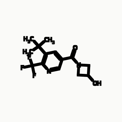 CC(C)(C)c1cc(C(=O)N2CC(O)C2)cnc1C(F)(F)F